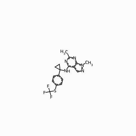 Cc1nc(NC2(c3ccc(SC(F)(F)F)cc3)CC2)c2cnn(C)c2n1